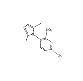 Cc1ccc(C)n1-c1ccc(C(C)(C)C)cc1[N+](=O)[O-]